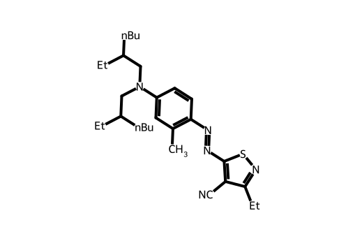 CCCCC(CC)CN(CC(CC)CCCC)c1ccc(N=Nc2snc(CC)c2C#N)c(C)c1